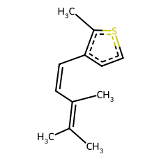 CC(C)=C(C)/C=C\c1ccsc1C